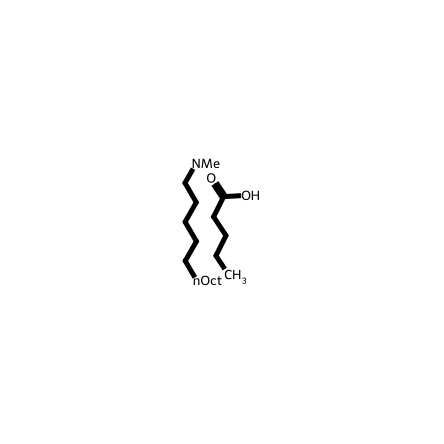 CCCCC(=O)O.CCCCCCCCCCCCCNC